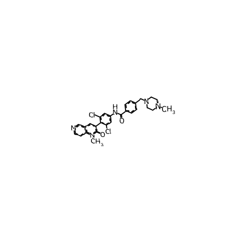 CN1CCN(Cc2ccc(C(=O)Nc3cc(Cl)c(-c4cc5cnccc5n(C)c4=O)c(Cl)c3)cc2)CC1